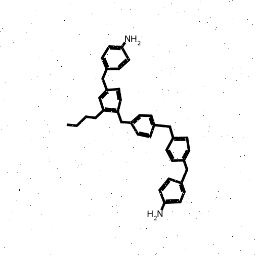 CCCCc1cc(Cc2ccc(N)cc2)ccc1Cc1ccc(Cc2ccc(Cc3ccc(N)cc3)cc2)cc1